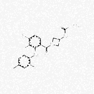 COC(=O)NC1CN(C(=O)c2ccc(F)c(F)c2Nc2ccc(C)cc2F)C1